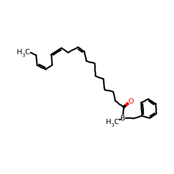 CC/C=C\C/C=C\C/C=C\CCCCCCCC(=O)B(C)Cc1ccccc1